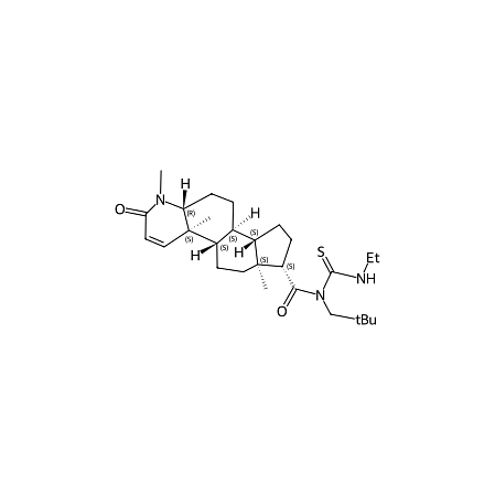 CCNC(=S)N(CC(C)(C)C)C(=O)[C@H]1CC[C@H]2[C@@H]3CC[C@H]4N(C)C(=O)C=C[C@]4(C)[C@H]3CC[C@]12C